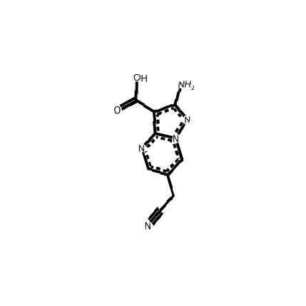 N#CCc1cnc2c(C(=O)O)c(N)nn2c1